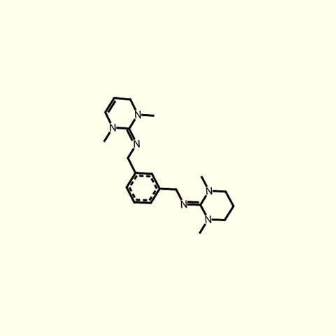 CN1C=CCN(C)C1=NCc1cccc(CN=C2N(C)CCCN2C)c1